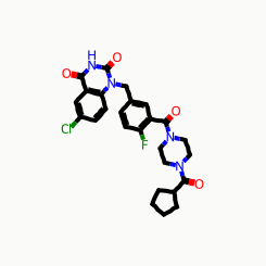 O=C(c1cc(Cn2c(=O)[nH]c(=O)c3cc(Cl)ccc32)ccc1F)N1CCN(C(=O)C2CCCC2)CC1